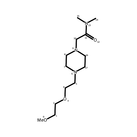 COCCOCCN1CCN(CC(=O)N(C)C)CC1